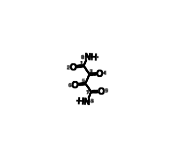 [NH]C(=O)C(=O)C(=O)C([NH])=O